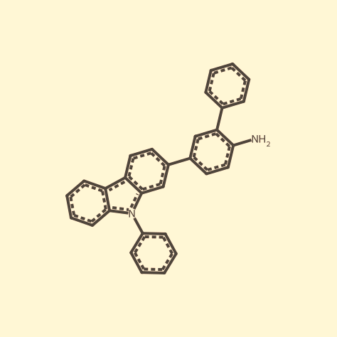 Nc1ccc(-c2ccc3c4ccccc4n(-c4ccccc4)c3c2)cc1-c1ccccc1